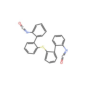 O=C=Nc1ccccc1-c1ccccc1Sc1ccccc1-c1ccccc1N=C=O